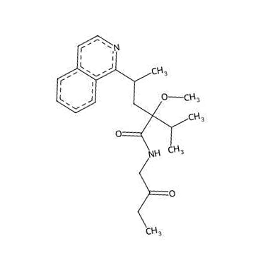 CCC(=O)CNC(=O)C(CC(C)c1nccc2ccccc12)(OC)C(C)C